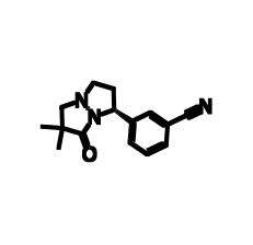 CC1(C)CN2CC[C@@H](c3cccc(C#N)c3)N2C1=O